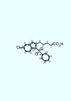 O=C(O)CCCCc1cc2cc(Cl)ccc2n1S(=O)(=O)c1ccccc1